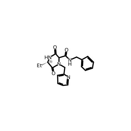 CC[C@@H]1NC(=O)C(C(=O)NCc2ccccc2)N(Cc2ccccn2)C1=O